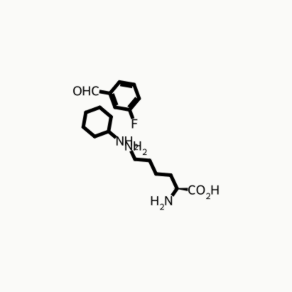 NC1CCCCC1.NCCCC[C@H](N)C(=O)O.O=Cc1cccc(F)c1